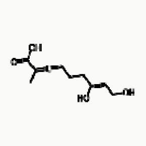 CC(=C=CCCC(O)=CCO)C(=O)O